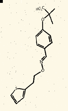 CC(C)(Oc1ccc(C=NOCCc2cccs2)cc1)C(=O)O